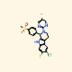 CS(=O)(=O)c1ccc(C2c3[nH]c4cc(F)c(Cl)cc4c3CCN2c2ncc(F)cn2)cc1